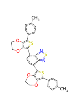 Cc1ccc(-c2sc(-c3ccc(-c4sc(-c5ccc(C)cc5)c5c4OCCO5)c4nsnc34)c3c2OCCO3)cc1